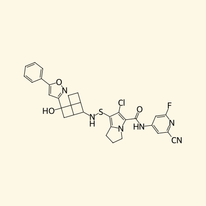 N#Cc1cc(NC(=O)c2c(Cl)c(SNC3C4CCC45C3CC5(O)c3cc(-c4ccccc4)on3)c3n2CCC3)cc(F)n1